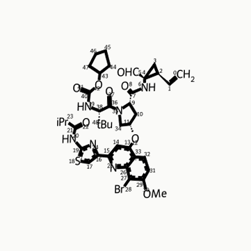 C=C[C@@H]1C[C@@]1(C=O)NC(=O)[C@@H]1C[C@H](Oc2cc(-c3csc(NC(=O)C(C)C)n3)nc3c(Br)c(OC)ccc23)CN1C(=O)[C@@H](NC(=O)OC1CCCC1)C(C)(C)C